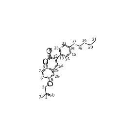 C=C(C)COc1ccc2oc(=O)c(-c3ccc(CCCCC)cc3)cc2c1